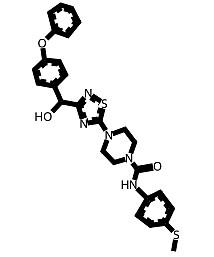 CSc1ccc(NC(=O)N2CCN(c3nc(C(O)c4ccc(Oc5ccccc5)cc4)ns3)CC2)cc1